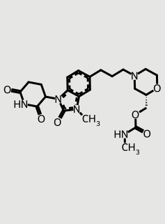 CNC(=O)OC[C@@H]1CN(CCCc2ccc3c(c2)n(C)c(=O)n3C2CCC(=O)NC2=O)CCO1